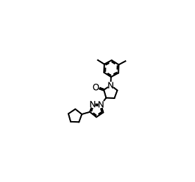 Cc1cc(C)cc(N2CCC(n3ccc(C4CCCC4)n3)C2=O)c1